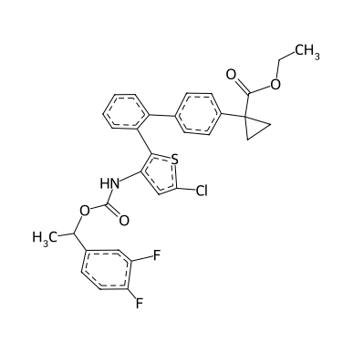 CCOC(=O)C1(c2ccc(-c3ccccc3-c3sc(Cl)cc3NC(=O)OC(C)c3ccc(F)c(F)c3)cc2)CC1